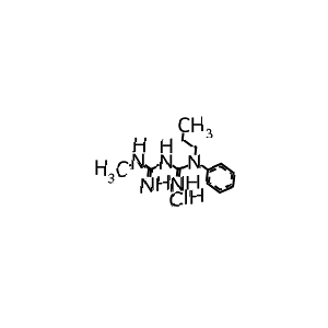 CCCN(C(=N)NC(=N)NC)c1ccccc1.Cl